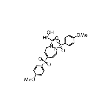 COc1ccc(S(=O)(=O)C2=CCN(C(=O)NO)N(S(=O)(=O)c3ccc(OC)cc3)C=C2)cc1